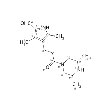 Cc1[nH]c(C=O)c(C)c1CCC(=O)N1C[C@@H](C)N[C@@H](C)C1